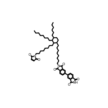 CCCCCCCCC1C(CCCCCC)CCC(CCCCCCCCN2C(=O)c3ccc(-c4ccc5c(c4)C(=O)NC5=O)cc3C2=O)C1CCCCCCCCN1C(=O)C=CC1=O